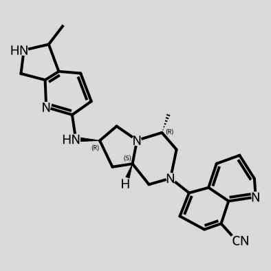 CC1NCc2nc(N[C@@H]3C[C@H]4CN(c5ccc(C#N)c6ncccc56)C[C@@H](C)N4C3)ccc21